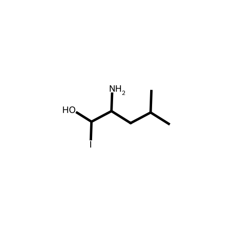 CC(C)CC(N)C(O)I